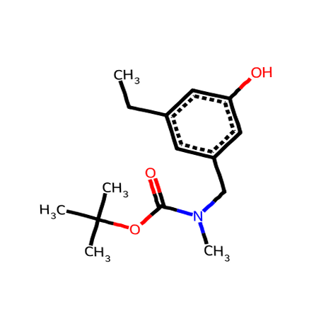 CCc1cc(O)cc(CN(C)C(=O)OC(C)(C)C)c1